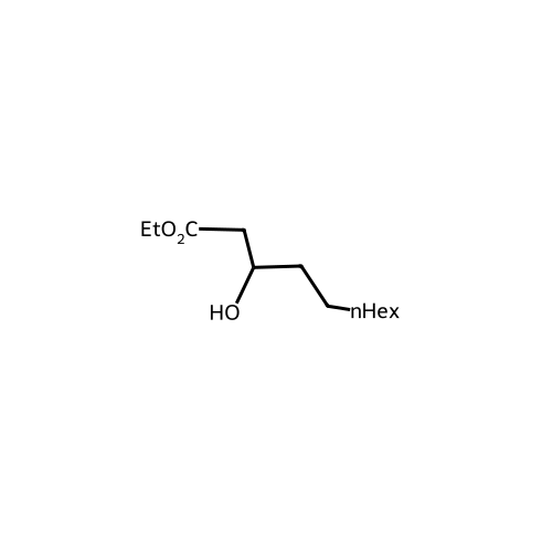 CCCCCCCCC(O)CC(=O)OCC